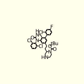 CC(C)(C)OC(=O)N1CCNCC1CCc1cc(-c2ccc(F)cc2Cl)c2c(c1)N(c1c(Cl)cccc1Cl)C(=O)NC2